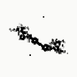 COC(=O)N[C@H](C(=O)N1CCC[C@H]1c1ncc(-c2ccc(C#Cc3ccc4nc([C@@H]5C[C@@]6(CN5C(=O)[C@@H](C)C(C)C)ON=C(C)O6)[nH]c4c3)cc2)[nH]1)C(C)C